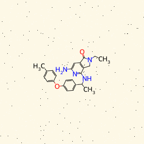 CCN1Cc2c(cc(N)nc2NC(C)c2ccc(Oc3ccc(C)cc3)cc2)C1=O